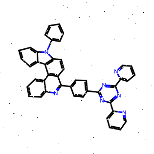 c1ccc(-n2c3ccccc3c3c4c(ccc32)c(-c2ccc(-c3nc(-c5ccccn5)nc(-c5ccccn5)n3)cc2)nc2ccccc24)cc1